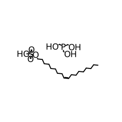 CCCCCCCC/C=C\CCCCCCCCOS(=O)(=O)O.OCP(CO)CO